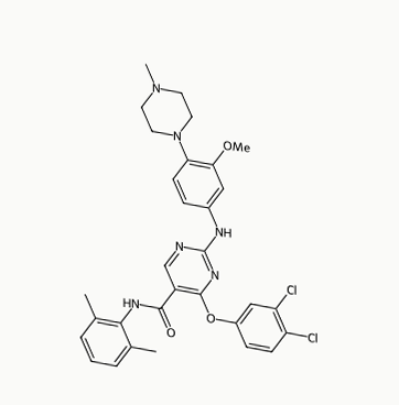 COc1cc(Nc2ncc(C(=O)Nc3c(C)cccc3C)c(Oc3ccc(Cl)c(Cl)c3)n2)ccc1N1CCN(C)CC1